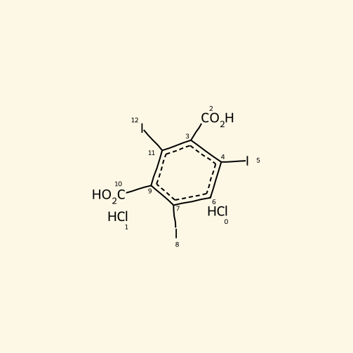 Cl.Cl.O=C(O)c1c(I)cc(I)c(C(=O)O)c1I